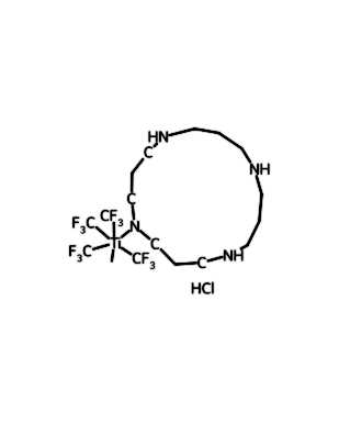 Cl.[CH3][Ti]([N]1CCCNCCCNCCCNCCC1)([C](F)(F)F)([C](F)(F)F)([C](F)(F)F)[C](F)(F)F